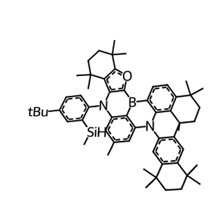 Cc1cc2c3c(c1)N1c4cc5c(cc4C4(C)CCC(C)(C)c6ccc(c1c64)B3c1oc3c(c1N2c1ccc(C(C)(C)C)cc1[SiH](C)C)C(C)(C)CCC3(C)C)C(C)(C)CCC5(C)C